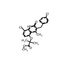 COC(=O)C(C)(C)Oc1ccc(Cl)c2[nH]c(=O)c(Cc3ccc(Cl)cc3)c(C)c12